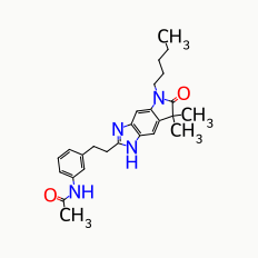 CCCCCN1C(=O)C(C)(C)c2cc3[nH]c(CCc4cccc(NC(C)=O)c4)nc3cc21